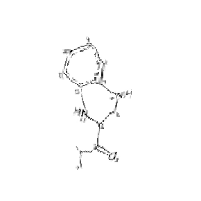 CCC(=O)C1CNc2ccccc2N1